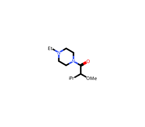 CCN1CCN(C(=O)C(OC)C(C)C)CC1